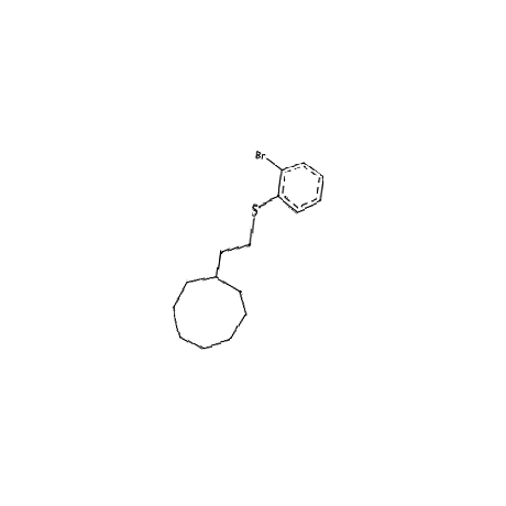 Brc1ccccc1SCCC1CCCCCCC1